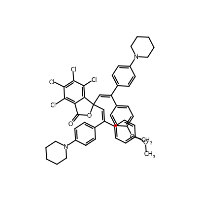 COc1ccc(C(=CC2(C=C(c3ccc(OC)cc3)c3ccc(N4CCCCC4)cc3)OC(=O)c3c(Cl)c(Cl)c(Cl)c(Cl)c32)c2ccc(N3CCCCC3)cc2)cc1